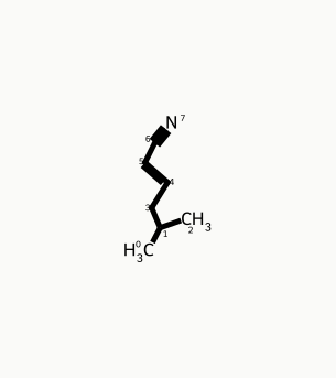 CC(C)CC=CC#N